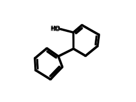 OC1=CC=CCC1c1ccccc1